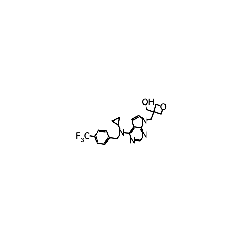 OCC1(Cn2ccc3c(N(Cc4ccc(C(F)(F)F)cc4)C4CC4)ncnc32)COC1